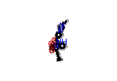 CCCN1CCN(c2ccc(C(=O)NC(C=O)(C3CCCCC3)N3CC(C#CC4CC4)C4OCC(=O)C43)cc2)CC1